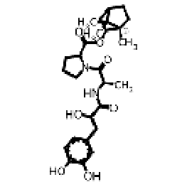 CC(NC(=O)C(O)Cc1ccc(O)c(O)c1)C(=O)N1CCCC1C(=O)OC1CC2CC[C@@]1(C)C2(C)C